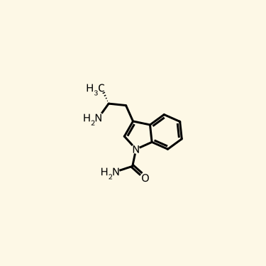 C[C@@H](N)Cc1cn(C(N)=O)c2ccccc12